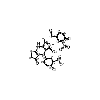 Cn1[nH]c(=O)c2c1NC1=C(C(=O)CC1)C2c1ccc(Cl)c([N+](=O)[O-])c1.O=Cc1ccc(Cl)c([N+](=O)[O-])c1